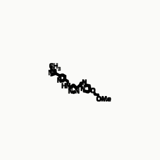 COCCOc1ccn2c(-c3cc(NCc4ccc(-c5cnn(C)c5)nc4)ncn3)cnc2c1